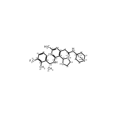 Cc1nc(CC(=O)NC23CCN(CC2)CC3)c(C2OCCO2)c(N[C@H](C)c2cccc(C(F)(F)F)c2C)n1